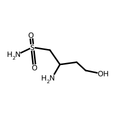 NC(CCO)CS(N)(=O)=O